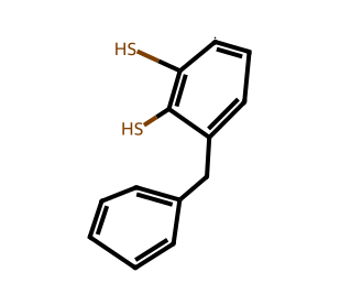 Sc1[c]ccc(Cc2ccccc2)c1S